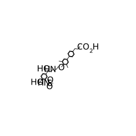 Cc1cc(-c2ccc(CCC(=O)O)cc2)cc(C)c1OCCNC[C@@H](O)c1ccc(O)c(NS(C)(=O)=O)c1